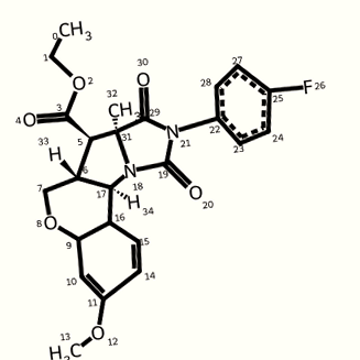 CCOC(=O)[C@@H]1[C@H]2COC3C=C(OC)C=CC3[C@@H]2N2C(=O)N(c3ccc(F)cc3)C(=O)[C@]12C